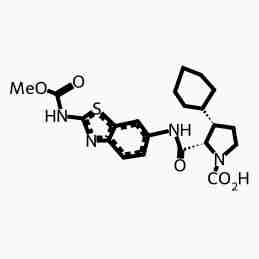 COC(=O)Nc1nc2ccc(NC(=O)[C@@H]3[C@H](C4CCCCC4)CCN3C(=O)O)cc2s1